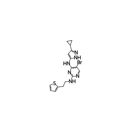 Brc1cnc(NCCc2cccs2)nc1Nc1cc(C2CC2)n[nH]1